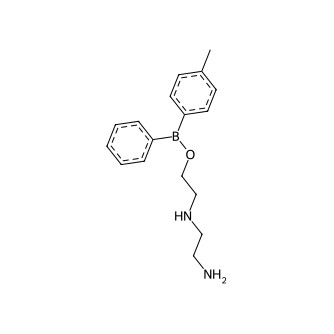 Cc1ccc(B(OCCNCCN)c2ccccc2)cc1